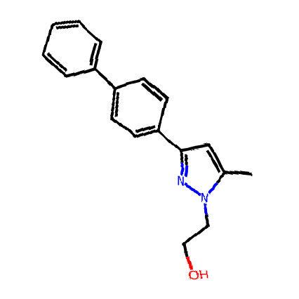 Cc1cc(-c2ccc(-c3ccccc3)cc2)nn1CCO